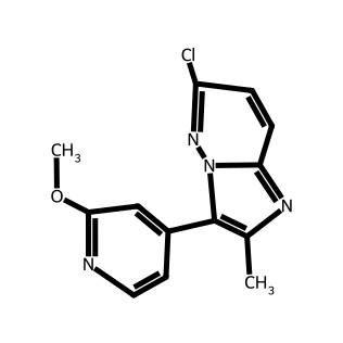 COc1cc(-c2c(C)nc3ccc(Cl)nn23)ccn1